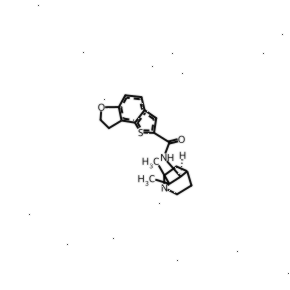 CC1(C)[C@@H](NC(=O)c2cc3ccc4c(c3s2)CCO4)C2CCN1CC2